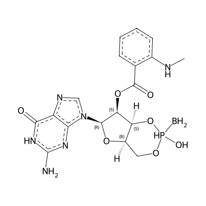 B[PH]1(O)OC[C@H]2O[C@@H](n3cnc4c(=O)[nH]c(N)nc43)[C@@H](OC(=O)c3ccccc3NC)[C@H]2O1